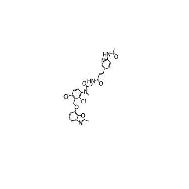 CC(=O)Nc1ccc(C=CC(=O)NCC(=O)N(C)c2ccc(Cl)c(COc3cccc4nc(C)oc34)c2Cl)cn1